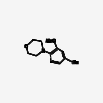 COc1cc(C(C)(C)C)ccc1N1CCOCC1